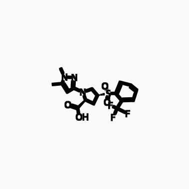 Cc1cc(N2C[C@H](S(=O)(=O)c3ccccc3C(F)(F)F)C[C@H]2C(=O)O)nn1C